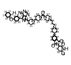 Nc1ncnc2c1c(-c1ccc(Oc3ccccc3)cc1)nn2[C@@H]1CCCN(C2CCN(C(=O)N3CCN(CCCN4CCC(c5ccc6c(c5)C(=O)N(C5CCC(=O)NC5=O)C6=O)CC4)CC3)CC2)C1